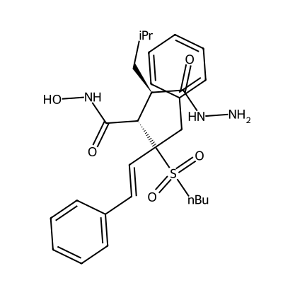 CCCCS(=O)(=O)C(/C=C/c1ccccc1)(Cc1ccccc1)[C@H](C(=O)NO)[C@@H](CC(C)C)C(=O)NN